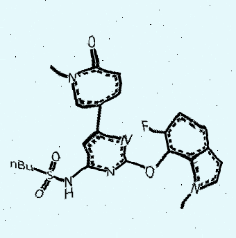 CCCCS(=O)(=O)Nc1cc(-c2ccc(=O)n(C)c2)nc(Oc2c(F)ccc3ccn(C)c23)n1